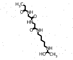 CCC(=O)NCC(=O)NCC(=O)NCCCCCNC(C)O